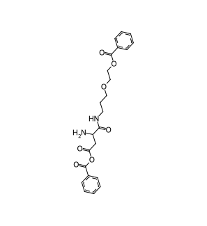 NC(CC(=O)OC(=O)c1ccccc1)C(=O)NCCCOCCOC(=O)c1ccccc1